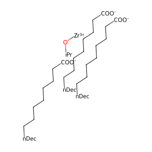 CC(C)[O][Zr+3].CCCCCCCCCCCCCCCCCC(=O)[O-].CCCCCCCCCCCCCCCCCC(=O)[O-].CCCCCCCCCCCCCCCCCC(=O)[O-]